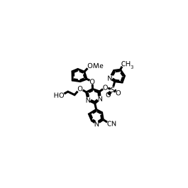 COc1ccccc1Oc1c(OCCO)nc(-c2ccnc(C#N)c2)nc1OS(=O)(=O)c1ccc(C)cn1